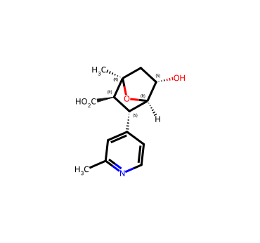 Cc1cc([C@H]2[C@H]3O[C@](C)(C[C@@H]3O)[C@@H]2C(=O)O)ccn1